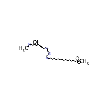 CC/C=C\C[C@H](O)C=CC#CC/C=C\C/C=C\C/C=C\CCCCCCCCCCCCCCC(=O)OC